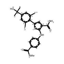 CNC(=O)c1ccc(Nc2sc(-c3c(F)cc(C(C)(C)O)cc3F)cc2C(N)=O)cc1